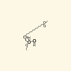 CCCOc1cc(-c2ccc[nH]2)[nH]c1C=C1C=CC(CCCCCCCCCCCC(=O)OCC)=N1